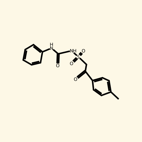 Cc1ccc(C(=O)CS(=O)(=O)NC(=O)Nc2ccccc2)cc1